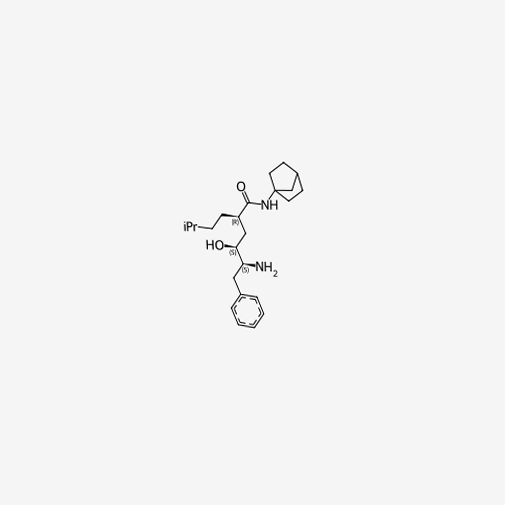 CC(C)CC[C@H](C[C@H](O)[C@@H](N)Cc1ccccc1)C(=O)NC12CCC(CC1)C2